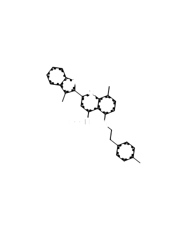 Cc1ccc(CCOc2ccc(C)c3nc(-c4sc5ccccc5c4C)cc(C(=O)O)c23)cc1